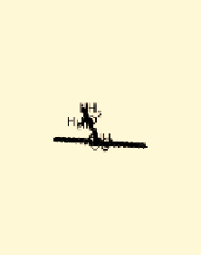 CCCCCCCCCCCCCCCCOC(=O)CCC(NC(=O)CCCCCNC(=O)C(N)CCCCN)C(=O)OCCCCCCCCCCCCCCCC